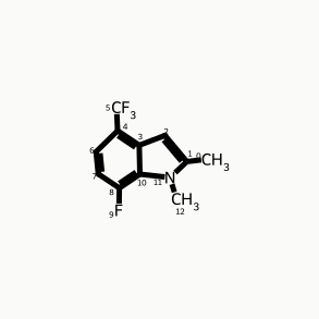 Cc1cc2c(C(F)(F)F)ccc(F)c2n1C